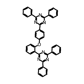 c1ccc(-c2nc(-c3ccccc3)nc(-c3ccc(Oc4ccccc4-c4nc(-c5ccccc5)nc(-c5ccccc5)n4)cc3)n2)cc1